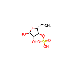 CC[C@H]1OC(O)[C@@H](O)[C@@H]1OS(=O)(=O)O